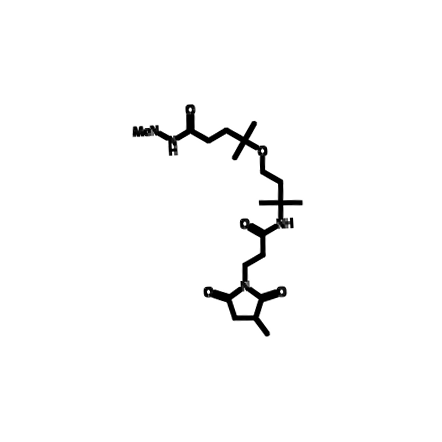 CNNC(=O)CCC(C)(C)OCCC(C)(C)NC(=O)CCN1C(=O)CC(C)C1=O